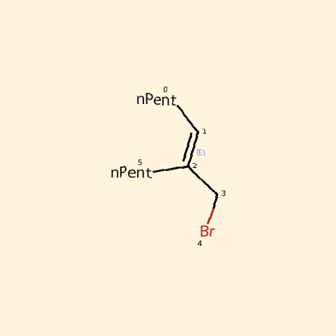 CCCCC/C=C(/CBr)CCCCC